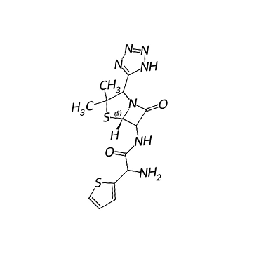 CC1(C)S[C@H]2C(NC(=O)C(N)c3cccs3)C(=O)N2C1c1nnn[nH]1